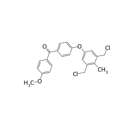 COc1ccc(C(=O)c2ccc(Oc3cc(CCl)c(C)c(CCl)c3)cc2)cc1